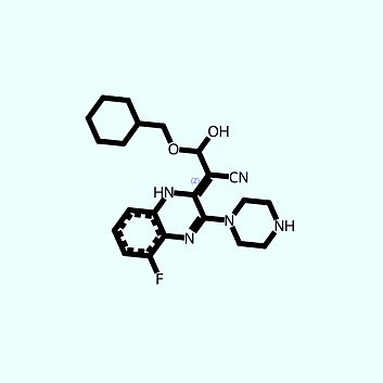 N#C/C(=C1/Nc2cccc(F)c2N=C1N1CCNCC1)C(O)OCC1CCCCC1